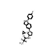 CC(F)(F)C(=O)N[C@@H]1CCN(c2ccc3c(cnn3-c3ccc(F)cc3)c2)[C@H]1C1CC1